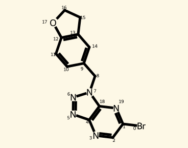 Brc1cnc2nnn(Cc3ccc4c(c3)CCO4)c2n1